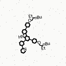 CCCCC(CC)COc1ccc(-c2ccc3[nH]c4c(-c5cccc(-c6ccccn6)c5)cc(-c5ccc(OCC(CC)CCCC)cc5)cc4c3c2)cc1